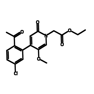 CCOC(=O)Cn1cc(OC)c(-c2cc(Cl)ccc2C(C)=O)cc1=O